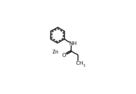 CCC(=O)Nc1ccccc1.[Zn]